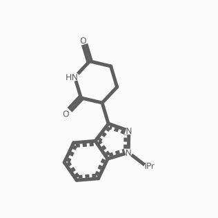 CC(C)n1nc(C2CCC(=O)NC2=O)c2ccccc21